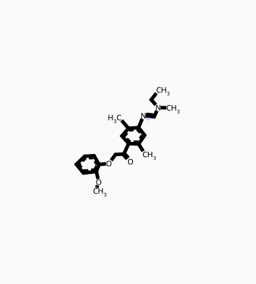 CCN(C)/C=N/c1cc(C)c(C(=O)COc2ccccc2OC)cc1C